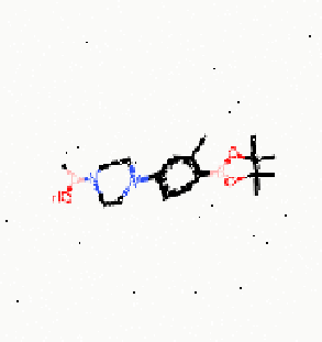 CB(O)N1CCN(c2ccc(B3OC(C)(C)C(C)(C)O3)c(C)c2)CC1